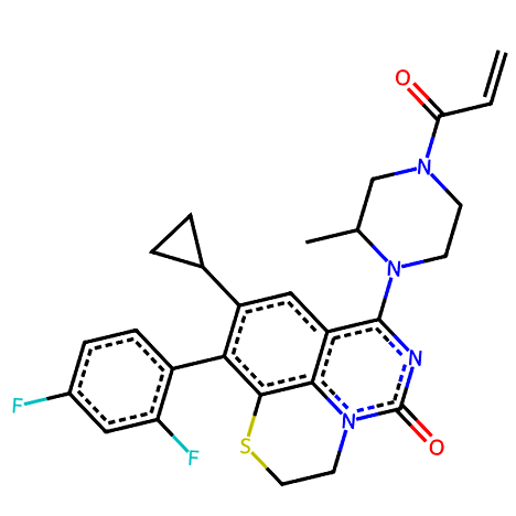 C=CC(=O)N1CCN(c2nc(=O)n3c4c(c(-c5ccc(F)cc5F)c(C5CC5)cc24)SCC3)C(C)C1